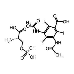 CC(=O)Nc1c(I)c(NC(C)=O)c(I)c(C(=O)O)c1I.N[C@@H](COP(=O)(O)O)C(=O)O